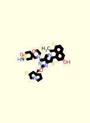 CCc1c(F)ccc2cc(O)cc(-c3ncc4c(N5CCOC6(CCS(=N)(=O)CC6)C5)nc(OC[C@@]56CCCN5C[C@H](F)C6)nc4c3F)c12